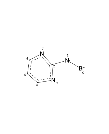 Br[N]c1ncccn1